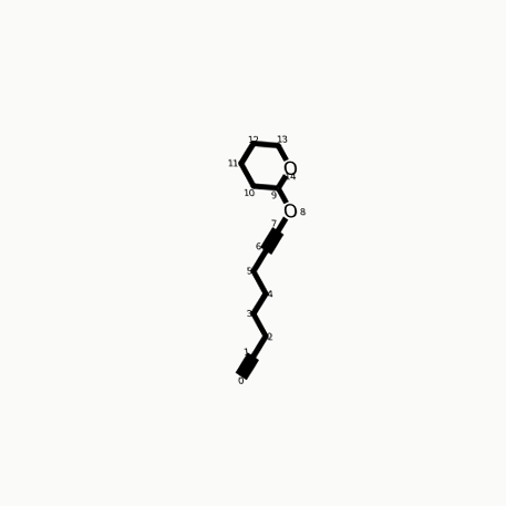 C#CCCCCC#COC1CCCCO1